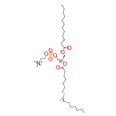 CCCCCC/C=C\CCCCCCCC(=O)O[C@H](COC(=O)CCCCCCCCCCC)COP(=O)([O-])OCC[N+](C)(C)C